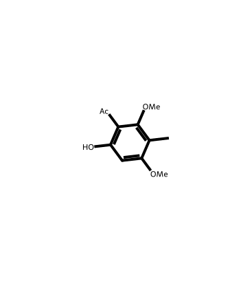 COc1cc(O)c(C(C)=O)c(OC)c1C